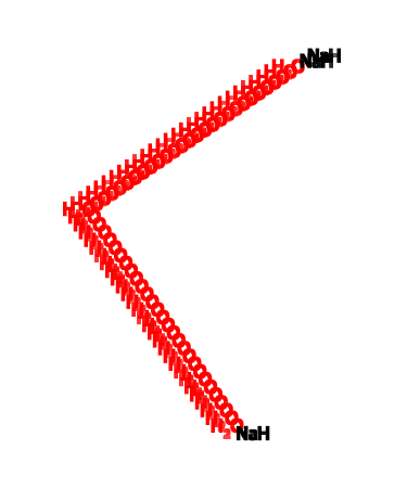 O.O.O.O.O.O.O.O.O.O.O.O.O.O.O.O.O.O.O.O.O.O.O.O.O.O.O.O.O.O.O.O.O.O.O.O.O.O.O.O.O.O.O.O.O.O.O.O.O.O.O.O.O.O.O.O.[NaH].[NaH].[NaH]